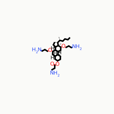 CCCC[C@@H](C)[C@H]1CC[C@H]2[C@@H]3[C@H](OCCCN)C[C@@H]4C[C@H](OC(=O)CCN)CC[C@]4(C)[C@H]3C[C@H](OCCCN)[C@]12C